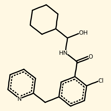 O=C(NC(O)C1CCCCC1)c1cc(Cc2ccccn2)ccc1Cl